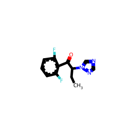 CCC(C(=O)c1c(F)cccc1F)n1cncn1